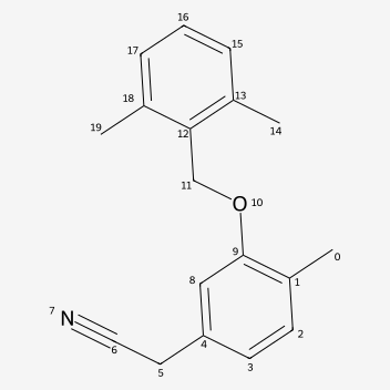 Cc1ccc(CC#N)cc1OCc1c(C)cccc1C